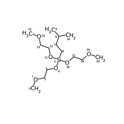 COCCO[Si](CCC(C)C)(OCCOC)OCCOC